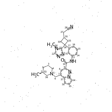 C[C@H]1CCCN(Cc2cc(C(=O)Nc3cccc(C4(c5nncn5C)CC(CC#N)C4)c3)nn3cccc23)C1